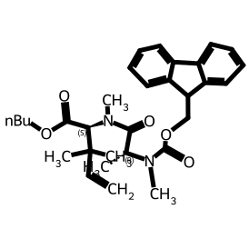 C=CC(C)(C)[C@@H](C(=O)OCCCC)N(C)C(=O)[C@@H](C)N(C)C(=O)OCC1c2ccccc2-c2ccccc21